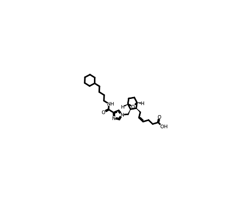 O=C(O)CC/C=C\C[C@H]1[C@@H](Cn2cnc(C(=O)NCCCCC3CCCCC3)c2)[C@@H]2CC[C@H]1O2